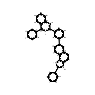 c1ccc(-c2nc3c(ccc4cc(-c5cccc(-c6nc(-c7ccccc7)c7ccccc7n6)c5)ccc43)s2)cc1